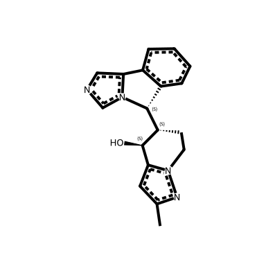 Cc1cc2n(n1)CC[C@@H]([C@H]1c3ccccc3-c3cncn31)[C@@H]2O